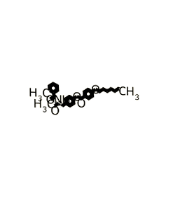 CCCCCCCOc1ccc(C(=O)Oc2ccc(C[C@H](NC(=O)c3ccccc3C)C(C)=O)cc2)cc1